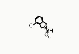 COBN1Cc2cccc(Cl)c2C1